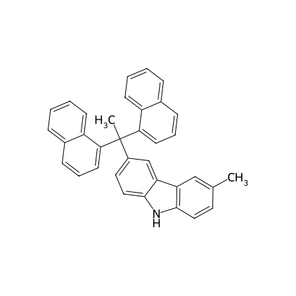 Cc1ccc2[nH]c3ccc(C(C)(c4cccc5ccccc45)c4cccc5ccccc45)cc3c2c1